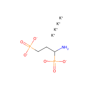 NC(CCP(=O)([O-])[O-])P(=O)([O-])[O-].[K+].[K+].[K+].[K+]